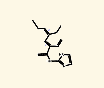 C=C/C(=C\C(=C/CC)CC)C(=C)NC1=NC=CB1